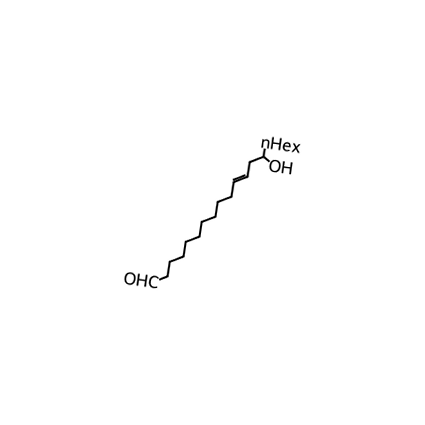 CCCCCCC(O)CC=CCCCCCCCCCC=O